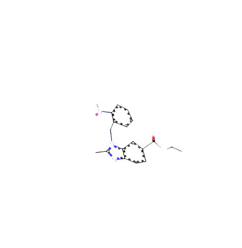 CCOC(=O)c1ccc2nc(C)n(Cc3ccccc3[N+](=O)[O-])c2c1